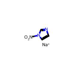 O=[N+]([O-])n1ccnc1.[Na+]